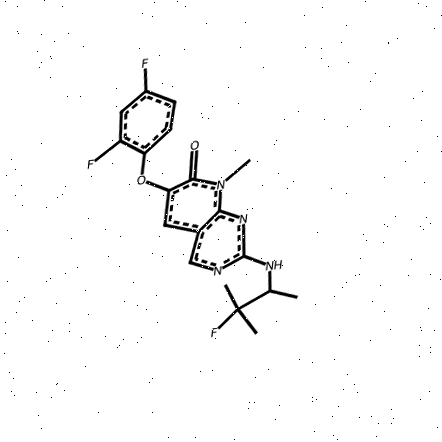 CC(Nc1ncc2cc(Oc3ccc(F)cc3F)c(=O)n(C)c2n1)C(C)(C)F